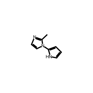 Cc1nccn1-c1ccc[nH]1